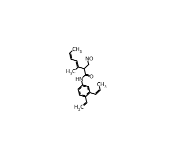 C=Cc1ccc(NC(=O)C(CN=O)/C(C)=C/C=C\C)cc1/C=C\C